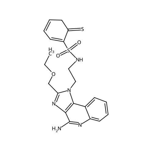 CCOCc1nc2c(N)nc3ccccc3c2n1CCNS(=O)(=O)C1=CC=CCC1=S